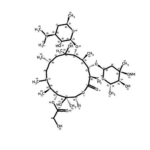 CC[C@H]1OC(=O)[C@H](C)[C@@H](O[C@H]2C[C@@](C)(OC)[C@@H](O)[C@H](C)O2)[C@H](C)[C@@H](O[C@@H]2O[C@H](C)C[C@H](N(C)C)[C@H]2O)[C@](C)(O)C[C@@H](C)CN(C)[C@H](C)[C@@H](OC(=O)CO)[C@]1(C)O